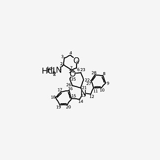 Cl.NC1CCOCC1.c1ccc(CN(Cc2ccccc2)C2CCOCC2)cc1